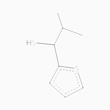 C[C](C)C(S)c1cccs1